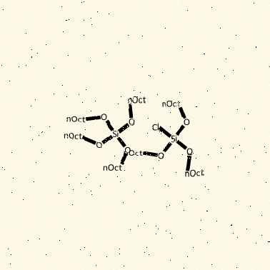 CCCCCCCCO[Si](Cl)(OCCCCCCCC)OCCCCCCCC.CCCCCCCCO[Si](OCCCCCCCC)(OCCCCCCCC)OCCCCCCCC